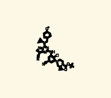 COc1ccc(CN(c2nc(Nc3cc(C#N)cc(N4CCN(C(=O)OC(C)(C)C)C5(CC5)C4)c3Cl)nc3c(C#N)cnn23)C2CC2)cc1